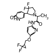 CC(C(=O)Nc1ccc(OCC2CC2(F)F)cn1)N1CCC(F)(F)C(c2ccc(=O)[nH]c2)C1